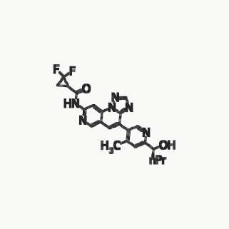 CCC[C@H](O)c1cc(C)c(-c2cc3cnc(NC(=O)C4CC4(F)F)cc3n3ncnc23)cn1